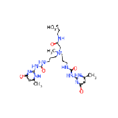 Cc1cc(=O)nc(NC(=O)NCCC[N+](C)(CCCNC(=O)Nc2nc(=O)cc(C)[nH]2)CC(=O)NCCS(=O)(=O)O)[nH]1